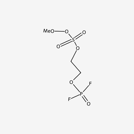 COOS(=O)(=O)OCCOP(=O)(F)F